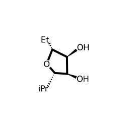 CC[C@H]1O[C@@H](C(C)C)[C@H](O)[C@@H]1O